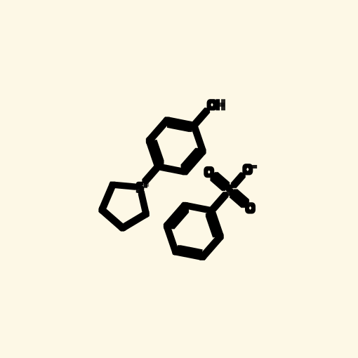 O=S(=O)([O-])c1ccccc1.Oc1ccc([S+]2CCCC2)cc1